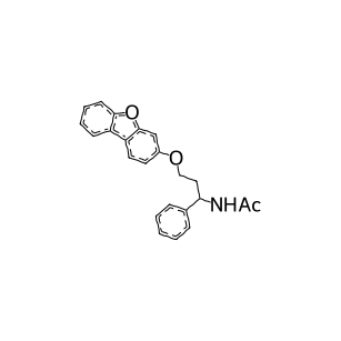 CC(=O)NC(CCOc1ccc2c(c1)oc1ccccc12)c1ccccc1